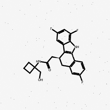 O=C(C[C@@H]1Cc2cc(F)ccc2-c2[nH]c3c(F)cc(F)cc3c21)NC1(CO)CCC1